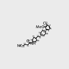 COc1c(Cl)cccc1N1CCN(CCC2CCC(NC(=O)CCCC#N)CC2)CC1